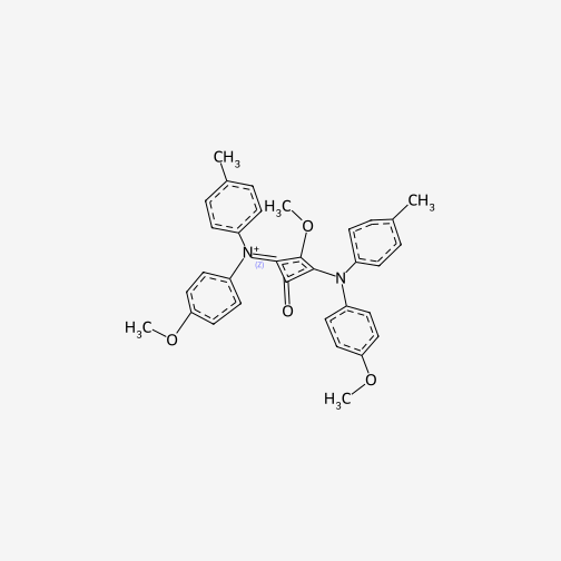 COc1ccc(N(c2ccc(C)cc2)c2c(OC)/c(=[N+](\c3ccc(C)cc3)c3ccc(OC)cc3)c2=O)cc1